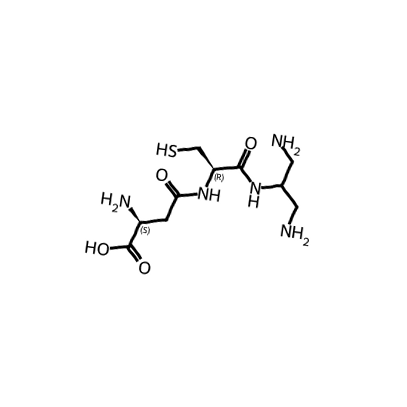 NCC(CN)NC(=O)[C@H](CS)NC(=O)C[C@H](N)C(=O)O